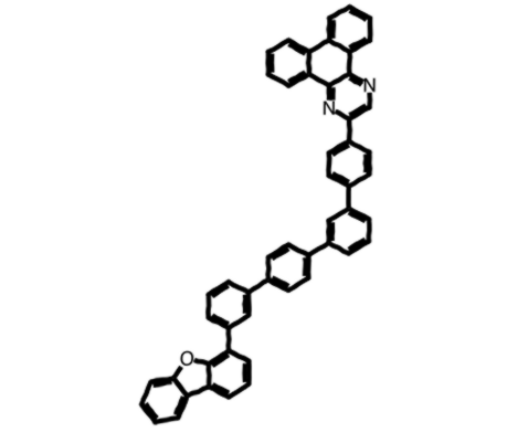 c1cc(-c2ccc(-c3cccc(-c4cccc5c4oc4ccccc45)c3)cc2)cc(-c2ccc(-c3cnc4c5ccccc5c5ccccc5c4n3)cc2)c1